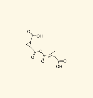 O=C(O)C1CC1C(=O)OC(=O)[C@@H]1CC1C(=O)O